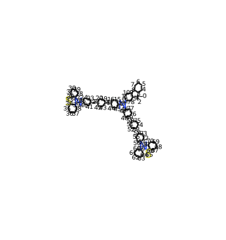 CC1(C)c2ccccc2-c2ccc(N(c3ccc(-c4ccc(-c5ccc(N6c7ccccc7Sc7ccccc76)cc5)cc4)cc3)c3ccc(-c4ccc(-c5ccc(N6c7ccccc7Sc7ccccc76)cc5)cc4)cc3)cc21